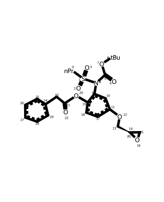 CCCS(=O)(=O)N(C(=O)OC(C)(C)C)c1cc(OC[C@H]2CO2)ccc1OC(=O)Cc1ccccc1